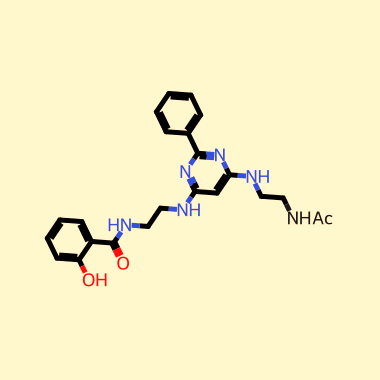 CC(=O)NCCNc1cc(NCCNC(=O)c2ccccc2O)nc(-c2ccccc2)n1